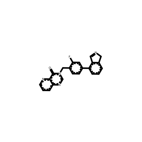 O=c1c2ncccc2ncn1Cc1ccc(-c2cccc3c2C=NC3)cc1F